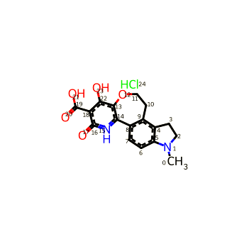 CN1CCc2c1ccc1c2CCOc2c-1[nH]c(=O)c(C(=O)O)c2O.Cl